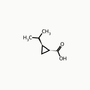 CC(C)[C@@H]1C[C@H]1C(=O)O